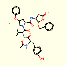 CC(=O)N[C@@H](Cc1ccc(O)cc1)C(=O)N[C@H](C(=O)N1CC(Oc2ccccc2)C[C@H]1C(=O)NC1CC(=O)OC1OCc1ccccc1)C(C)C